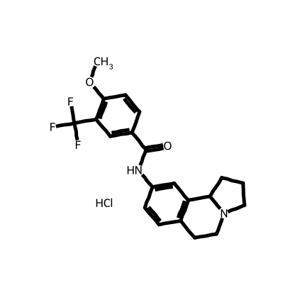 COc1ccc(C(=O)Nc2ccc3c(c2)C2CCCN2CC3)cc1C(F)(F)F.Cl